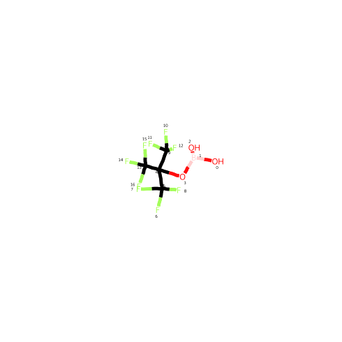 OB(O)OC(C(F)(F)F)(C(F)(F)F)C(F)(F)F